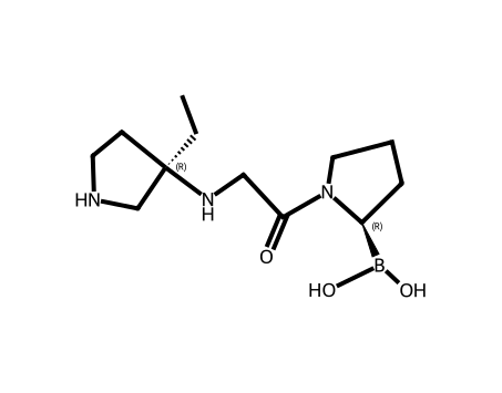 CC[C@@]1(NCC(=O)N2CCC[C@H]2B(O)O)CCNC1